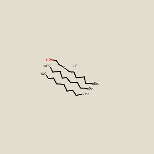 CCCCCCCCCCCCCCCCCC(=O)[O-].CCCCCCCCCCCCCCCCCC(=O)[O-].CCCCCCCCCCCCCCCCCCO.[Ca+2]